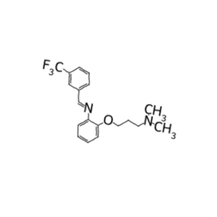 CN(C)CCCOc1ccccc1N=Cc1cccc(C(F)(F)F)c1